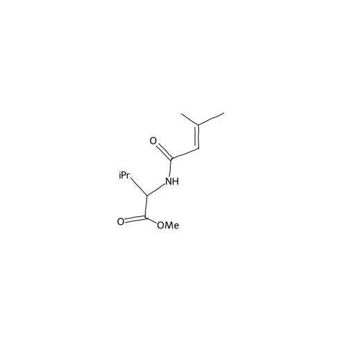 COC(=O)C(NC(=O)C=C(C)C)C(C)C